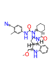 COC[C@@H]1Nc2ccccc2[C@H]2[C@H]1CCN2C(=O)[C@H]1CCCC[C@H]1NC(=O)Nc1ccc(C#N)c(C)c1